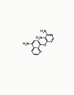 NC1=N[CH]=[Y][C](Oc2ccc(N)c3cccnc23)=C1[N+](=O)[O-]